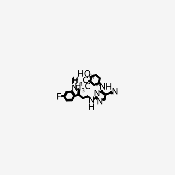 CC1(C)C[C@H](Nc2nc(NCCc3c[nH]c4cc(F)ccc34)ncc2C#N)CC[C@@H]1O